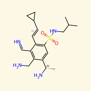 CC(C)CNS(=O)(=O)c1cc([C@H](C)N)c(CN)c(C=N)c1/C=C/C1CC1